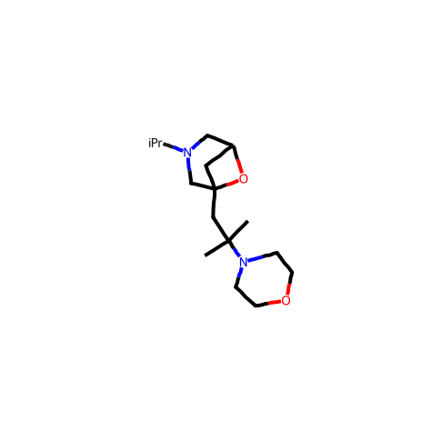 CC(C)N1CC2CC(CC(C)(C)N3CCOCC3)(C1)O2